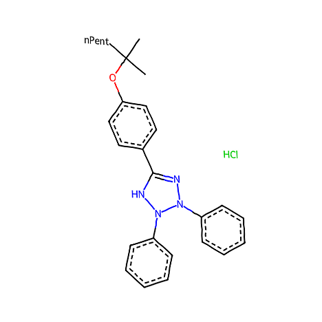 CCCCCC(C)(C)Oc1ccc(C2=NN(c3ccccc3)N(c3ccccc3)N2)cc1.Cl